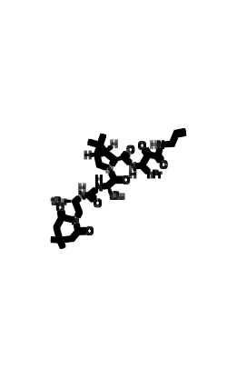 C=CCNC(=O)C(=O)C(CCC)NC(=O)[C@@H]1[C@@H]2[C@H](CN1C(=O)[C@@H](NC(=O)N[C@H](CN1C(=O)CC(C)(C)CC1=O)C(C)(C)C)C(C)(C)C)C2(C)C